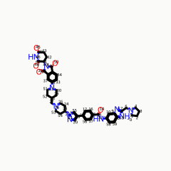 C[C@H]1CCCN1Cc1nc2cc(NC(=O)c3ccc(-c4cnn(C5CCN(CC6CCN(c7ccc8c(c7)C(=O)N(C7CCC(=O)NC7=O)C8=O)CC6)CC5)c4)cc3)ccc2[nH]1